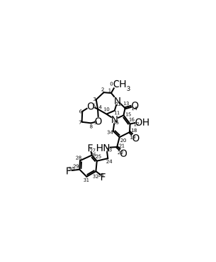 CC1CCC2(OCCCO2)C2CN1C(=O)c1c(O)c(=O)c(C(=O)NCc3c(F)cc(F)cc3F)cn12